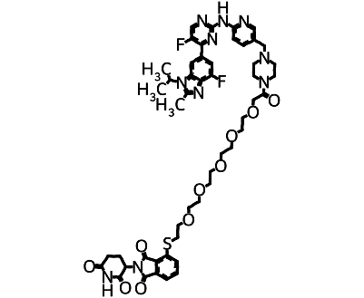 Cc1nc2c(F)cc(-c3nc(Nc4ccc(CN5CCN(C(=O)COCCOCCOCCOCCOCCSc6cccc7c6C(=O)N(C6CCC(=O)NC6=O)C7=O)CC5)cn4)ncc3F)cc2n1C(C)C